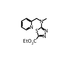 CCOC(=O)c1nnc(N(C)Cc2ccccn2)s1